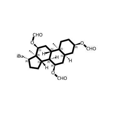 CCC(C)[C@H]1CC[C@H]2[C@@H]3[C@H](OC=O)C[C@@H]4C[C@H](OC=O)CC[C@]4(C)[C@H]3C[C@H](OC=O)[C@]12C